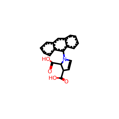 O=C(O)C1C=CN(c2c3ccccc3cc3ccccc23)C1C(=O)O